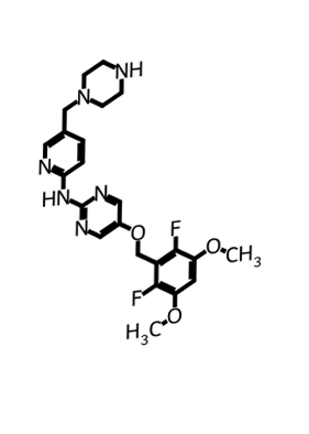 COc1cc(OC)c(F)c(COc2cnc(Nc3ccc(CN4CCNCC4)cn3)nc2)c1F